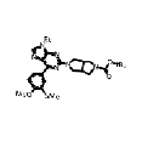 CCn1cnc2c(-c3ccc(OC)c(SC)c3)nc(N3CC4CN(C(=O)OC(C)(C)C)CC4C3)nc21